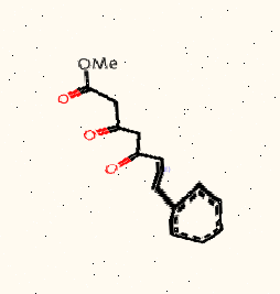 COC(=O)CC(=O)CC(=O)/C=C/c1ccccc1